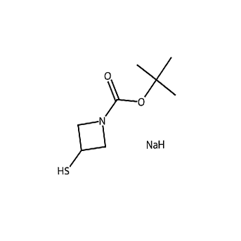 CC(C)(C)OC(=O)N1CC(S)C1.[NaH]